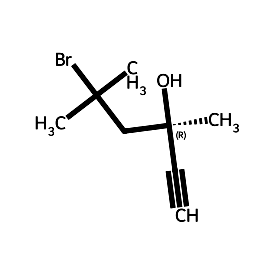 C#C[C@](C)(O)CC(C)(C)Br